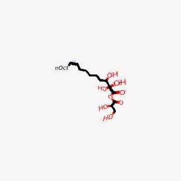 CCCCCCCC/C=C\CCCCCC(O)C(O)(O)C(=O)OC(=O)C(O)CO